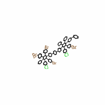 Clc1ccc(-c2c(-c3ccccc3)c(-c3ccc(Br)cc3)c(-c3ccc(Br)cc3)c(-c3ccc(-c4ccc(-c5ccc(-c6c(-c7ccccc7)c(-c7ccccc7)c(-c7ccc(-c8ccccc8)cc7)c(-c7ccc(Br)cc7)c6-c6ccc(Cl)cc6)cc5)cc4)cc3)c2-c2ccc(Br)cc2)cc1